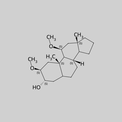 CO[C@H]1C[C@]2(C)CCCC2[C@@H]2CCC3C[C@H](O)[C@@H](OC)C[C@]3(C)C21